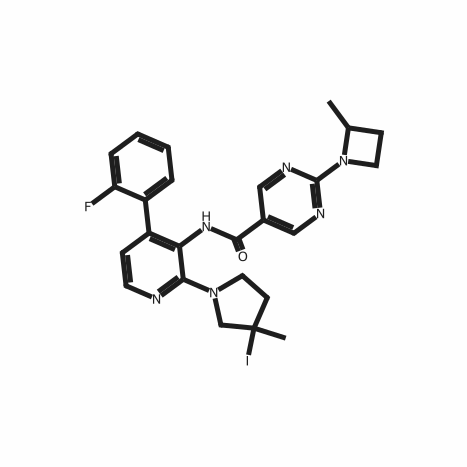 CC1CCN1c1ncc(C(=O)Nc2c(-c3ccccc3F)ccnc2N2CCC(C)(I)C2)cn1